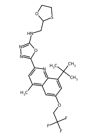 Cc1cc(-c2nnc(NCC3OCCS3)o2)nc2c(C(C)(C)C)cc(OCC(F)(F)F)cc12